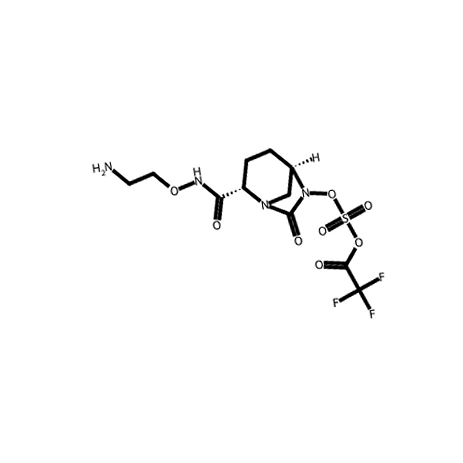 NCCONC(=O)[C@@H]1CC[C@@H]2CN1C(=O)N2OS(=O)(=O)OC(=O)C(F)(F)F